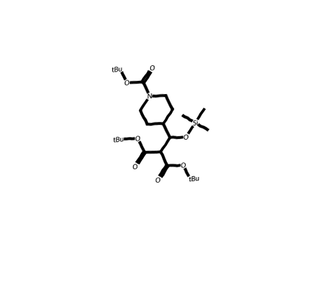 CC(C)(C)OC(=O)C(C(=O)OC(C)(C)C)C(O[Si](C)(C)C)C1CCN(C(=O)OC(C)(C)C)CC1